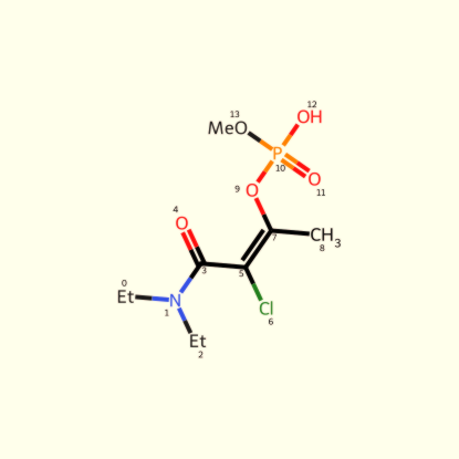 CCN(CC)C(=O)C(Cl)=C(C)OP(=O)(O)OC